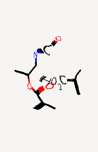 C=C(C)C(=O)O.C=C(C)C(=O)OC(C)CN=C=O